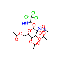 CC(=O)OCC1OC(OC(=N)C(Cl)(Cl)Cl)C(N)(OC(C)=O)[C@@H](OC(C)=O)[C@H]1OC(C)=O